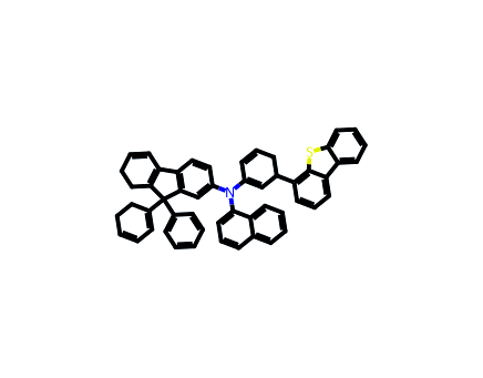 C1=CCCC(C2(c3ccccc3)C3=C(C=CCC3)c3ccc(N(C4=CC(c5cccc6c5sc5ccccc56)CC=C4)c4cccc5ccccc45)cc32)=C1